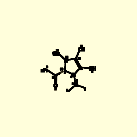 CCCC(=O)[C@H]1N([SiH](C)C)C(O)=C(C#N)N1C(C)(C)C